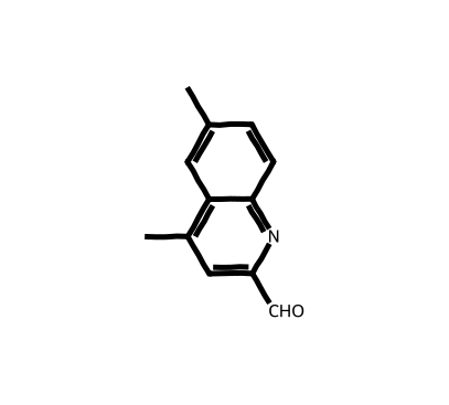 Cc1ccc2nc(C=O)cc(C)c2c1